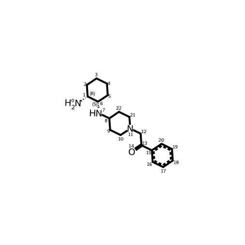 N[C@@H]1CCCC[C@@H]1NC1CCN(CC(=O)c2ccccc2)CC1